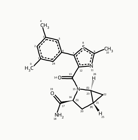 Cc1cc(C)cc(-c2sc(C)nc2C(=O)N2[C@H](C(N)=O)C[C@H]3C[C@@H]32)c1